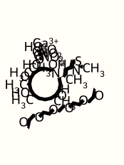 C(COCCOCC1CO1)OCCOCC1CO1.C/C(=C\c1csc(C)n1)[C@@H]1C[C@@H]2O[C@]2(C)CCC[C@H](C)[C@H](O)[C@@H](C)C(=O)C(C)(C)[C@@H](O)CC(O)=N1.O=[N+]([O-])[O-].O=[N+]([O-])[O-].O=[N+]([O-])[O-].[Ga+3].[OH]